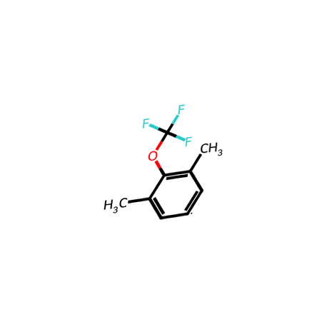 Cc1c[c]cc(C)c1OC(F)(F)F